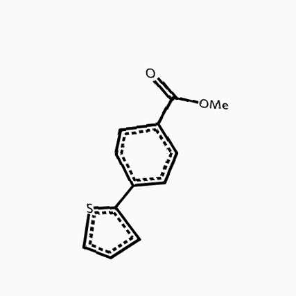 COC(=O)c1ccc(-c2cccs2)cc1